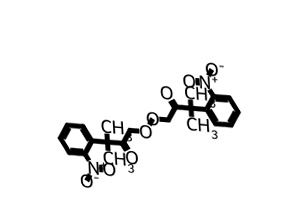 CC(C)(C(=O)COOCC(=O)C(C)(C)c1ccccc1[N+](=O)[O-])c1ccccc1[N+](=O)[O-]